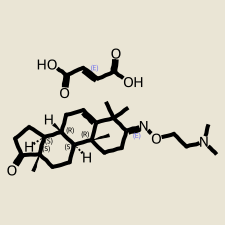 CN(C)CCO/N=C1\CC[C@@]2(C)C(=CC[C@@H]3[C@@H]2CC[C@]2(C)C(=O)CC[C@@H]32)C1(C)C.O=C(O)/C=C/C(=O)O